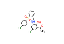 CC(=O)c1cc(Cl)cc(NCc2ccccc2S(=O)(=O)c2ccc(Cl)cc2)c1O